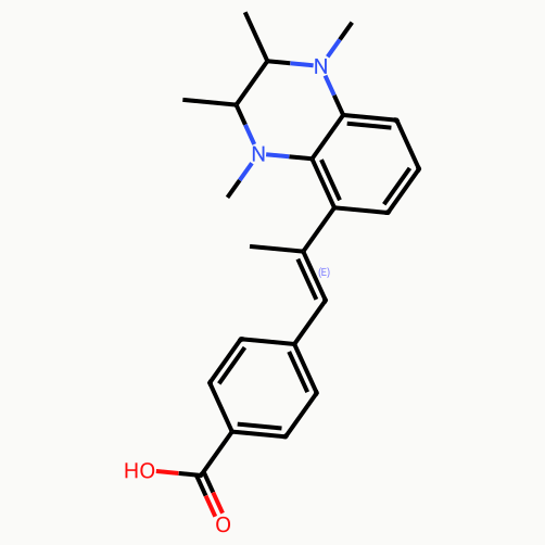 C/C(=C\c1ccc(C(=O)O)cc1)c1cccc2c1N(C)C(C)C(C)N2C